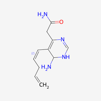 C=CC/C=C\C1=C(CC(N)=O)N=CNC1N